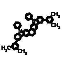 Cc1cc(C)cc(C2=Cc3c(n(-c4ccccc4)c4cc5c(cc34)CCc3cc4c6cc(-c7cc(C)cc(C)c7)ccc6n(-c6ccccc6)c4cc3-5)CC2)c1